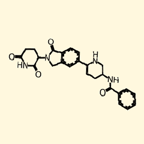 O=C1CCC(N2Cc3cc(C4CCC(NC(=O)c5ccccc5)CN4)ccc3C2=O)C(=O)N1